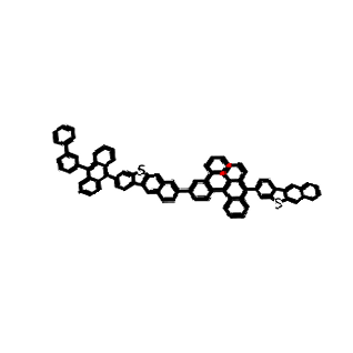 c1ccc(-c2cccc(-c3c4ccccc4c(-c4ccc5c(c4)sc4cc6cc(-c7ccc(-c8c9ccccc9c(-c9ccc%10c(c9)sc9cc%11ccccc%11cc9%10)c9ccccc89)c(-c8ccccc8)c7)ccc6cc45)c4ccccc34)c2)cc1